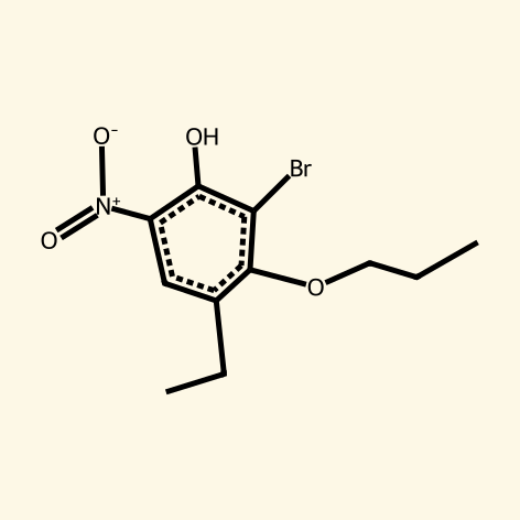 CCCOc1c(CC)cc([N+](=O)[O-])c(O)c1Br